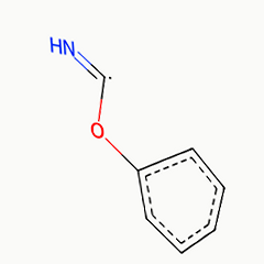 N=[C]Oc1ccccc1